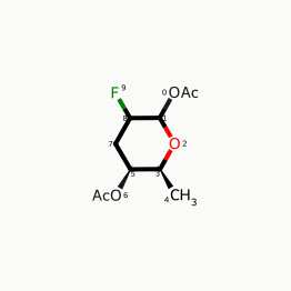 CC(=O)OC1O[C@@H](C)[C@@H](OC(C)=O)CC1F